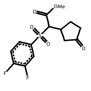 COC(=O)C(C1CCC(=O)C1)S(=O)(=O)c1ccc(F)c(F)c1